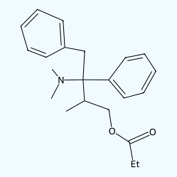 CCC(=O)OCC(C)C(Cc1ccccc1)(c1ccccc1)N(C)C